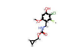 COc1cc(O)c(Cl)c(F)c1CNC(=O)OCC1CC1